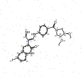 CO[C@@H]1CN(C(=O)c2ccc(N/C=C(\C=N)c3cc4cc(F)ccc4[nH]c3=O)cc2)C[C@H]1OC